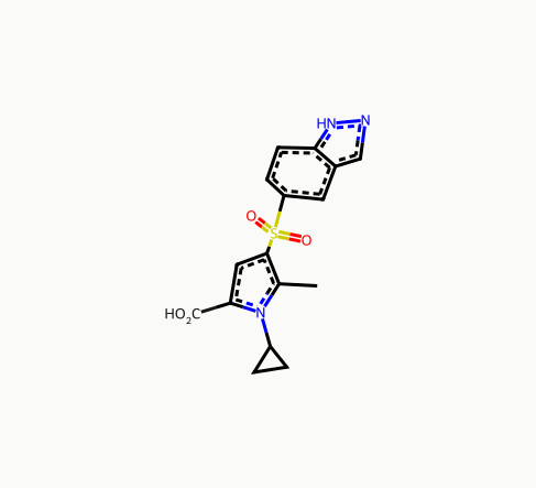 Cc1c(S(=O)(=O)c2ccc3[nH]ncc3c2)cc(C(=O)O)n1C1CC1